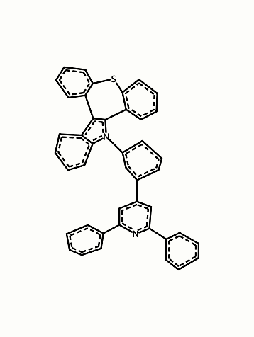 c1ccc(-c2cc(-c3cccc(-n4c5c(c6ccccc64)-c4ccccc4Sc4ccccc4-5)c3)cc(-c3ccccc3)n2)cc1